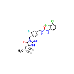 CC(C)CC1(C)NC(=N)N(Cc2ccc(CNC(=O)Nc3cccc(Cl)c3Cl)cc2F)C1=O